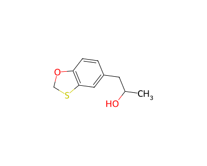 CC(O)Cc1ccc2c(c1)SCO2